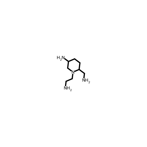 NCCN1CC(N)CCC1CN